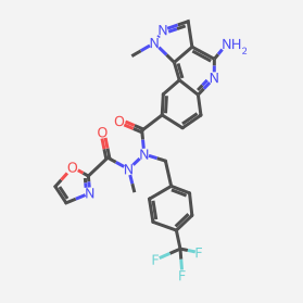 CN(C(=O)c1ncco1)N(Cc1ccc(C(F)(F)F)cc1)C(=O)c1ccc2nc(N)c3cnn(C)c3c2c1